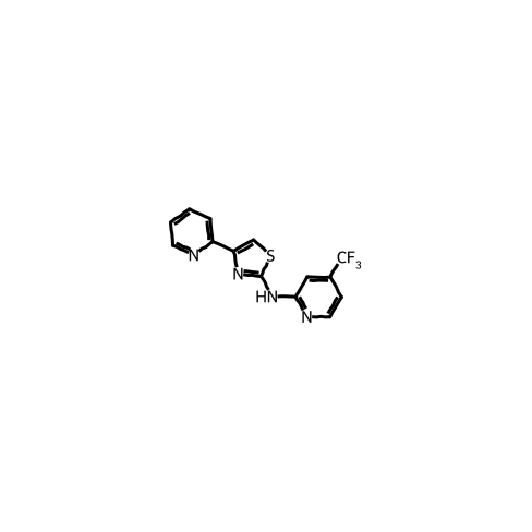 FC(F)(F)c1ccnc(Nc2nc(-c3ccccn3)cs2)c1